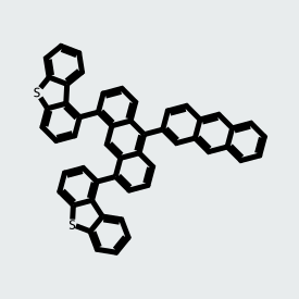 c1ccc2cc3cc(-c4c5cccc(-c6cccc7sc8ccccc8c67)c5cc5c(-c6cccc7sc8ccccc8c67)cccc45)ccc3cc2c1